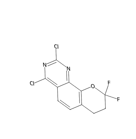 FC1(F)CCc2ccc3c(Cl)nc(Cl)nc3c2O1